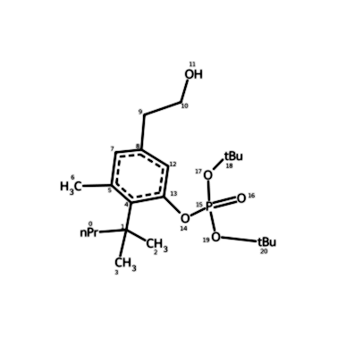 CCCC(C)(C)c1c(C)cc(CCO)cc1OP(=O)(OC(C)(C)C)OC(C)(C)C